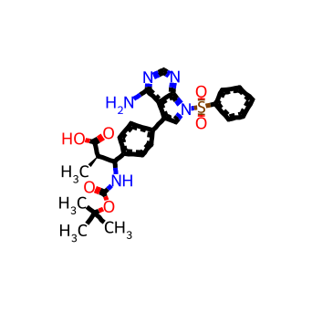 C[C@@H](C(=O)O)C(NC(=O)OC(C)(C)C)c1ccc(-c2cn(S(=O)(=O)c3ccccc3)c3ncnc(N)c23)cc1